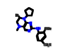 CC[C@@H]1CN(C)c2cnc(Nc3ccc(C(=O)O)cc3OC)nc2N1C1CCCC1